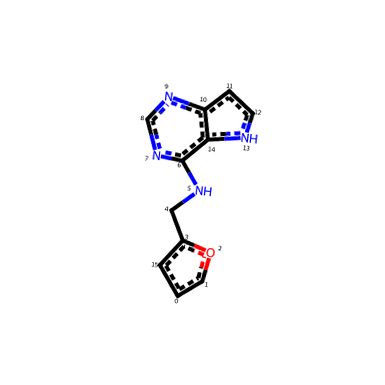 c1coc(CNc2ncnc3cc[nH]c23)c1